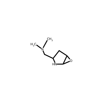 CN(C)CC1CC2OC2N1